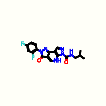 CC(C)CNC(=O)n1ncc2c3nn(-c4ccc(F)cc4F)c(=O)c-3c[nH]c21